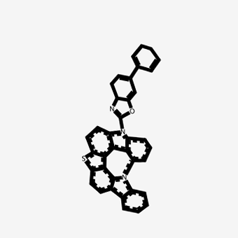 C1=CC(C2=CCC3N=C(n4c5ccc6sc7ccc8c9ccccc9n9c%10cccc4c%10c5c6c7c89)OC3=C2)=CCC1